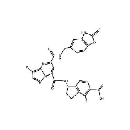 C=C(O)c1ccc2c(c1C)CC[C@@H]2NC(=O)c1cc(C(=O)NCc2ccc3oc(=O)[nH]c3c2)nc2c(F)cnn12